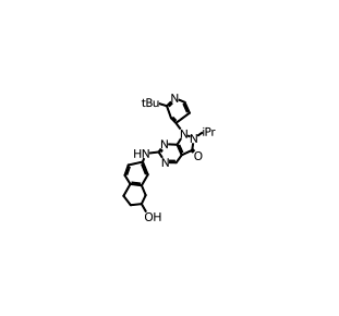 CC(C)n1c(=O)c2cnc(Nc3ccc4c(c3)CC(O)CC4)nc2n1-c1ccnc(C(C)(C)C)c1